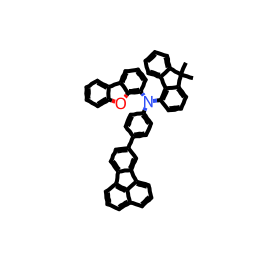 CC1(C)c2ccccc2-c2c(N(c3ccc(-c4ccc5c(c4)-c4cccc6cccc-5c46)cc3)c3cccc4c3oc3ccccc34)cccc21